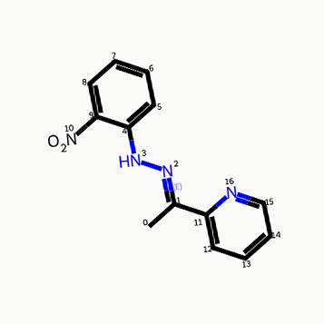 C/C(=N\Nc1ccccc1[N+](=O)[O-])c1ccccn1